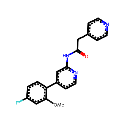 COc1cc(F)ccc1-c1ccnc(NC(=O)Cc2ccncc2)c1